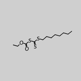 CCCCCCCCSC(=S)SC(=O)OCC